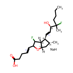 CCCCC(C)(F)[C@H](O)/C=C/[C@@H]1[C@H]2C(F)C(/C=C/CCC(=O)O)O[C@H]2C[C@H]1C.[NaH]